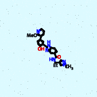 CCC(NC(=O)c1ccc2[nH]c(-c3cc(-c4cccnc4OC)ccc3O)nc2c1)c1cnn(C)c1